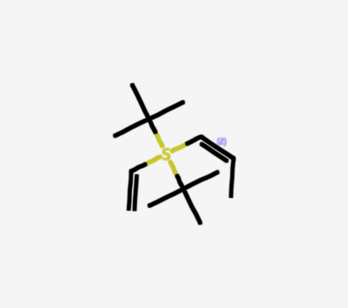 C=CS(/C=C\C)(C(C)(C)C)C(C)(C)C